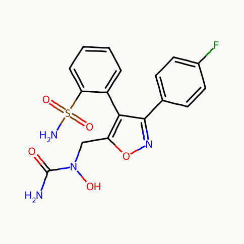 NC(=O)N(O)Cc1onc(-c2ccc(F)cc2)c1-c1ccccc1S(N)(=O)=O